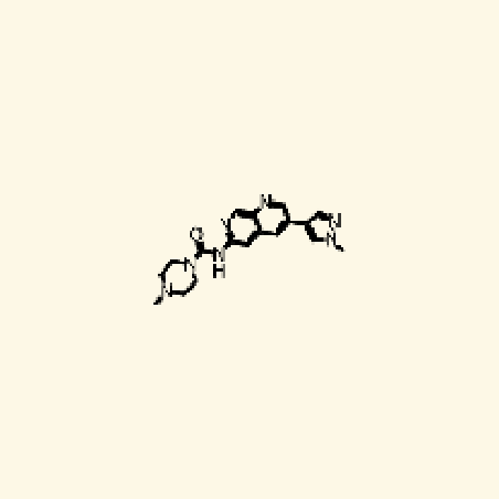 CN1CCN(C(=O)Nc2cc3cc(-c4cnn(C)c4)cnc3cn2)CC1